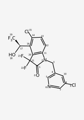 O=C1N(Cc2cncc(Cl)c2)c2ccc(Cl)c([C@@H](O)C(F)(F)F)c2C1(F)F